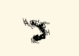 CC(C)(C)C(=O)c1cn(COCC[Si](C)(C)C)c2ncc(Nc3ccc(C=C(C#N)n4cncn4)cc3)nc12